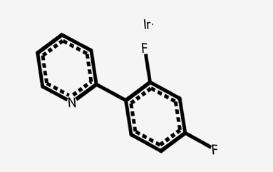 Fc1ccc(-c2ccccn2)c(F)c1.[Ir]